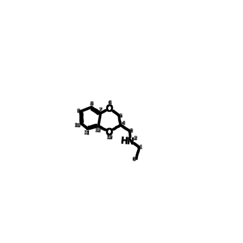 CCNCC1COc2ccccc2O1